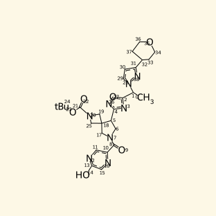 CC(c1nc(C2CN(C(=O)c3cnc(O)cn3)CC23CN(C(=O)OC(C)(C)C)C3)no1)n1ccc(C2CCOCC2)n1